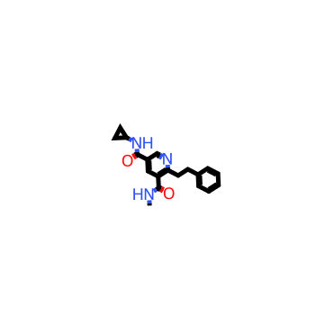 CNC(=O)c1cc(C(=O)NC2CC2)cnc1CCc1ccccc1